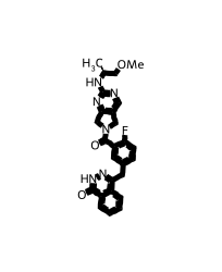 COC[C@@H](C)Nc1ncc2c(n1)CN(C(=O)c1cc(Cc3n[nH]c(=O)c4ccccc34)ccc1F)C2